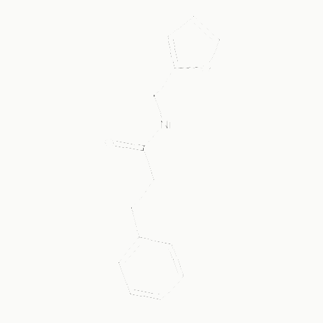 O=C(CCc1cc[c]cc1)NCc1ccco1